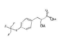 O=C(O)C(O)Cc1ccc(SC(F)(F)F)cc1